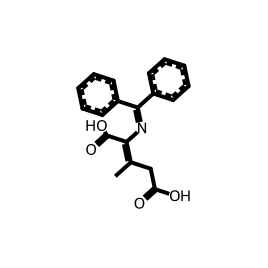 CC(CC(=O)O)=C(N=C(c1ccccc1)c1ccccc1)C(=O)O